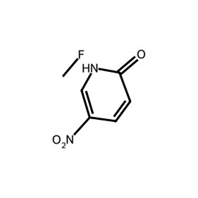 CF.O=c1ccc([N+](=O)[O-])c[nH]1